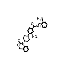 Nc1ccccc1CNC(=O)c1ccc(N2CCC(N3C(=O)OCc4ccccc43)CC2)c([N+](=O)[O-])c1